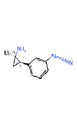 CC[C@@]1(N)C[C@@H]1c1cccc(N=[N+]=[N-])c1